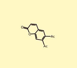 CC(=O)c1cc2ccc(=O)oc2cc1C(C)=O